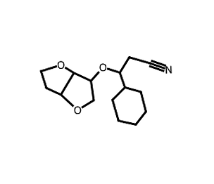 N#CCC(OC1COC2CCOC21)C1CCCCC1